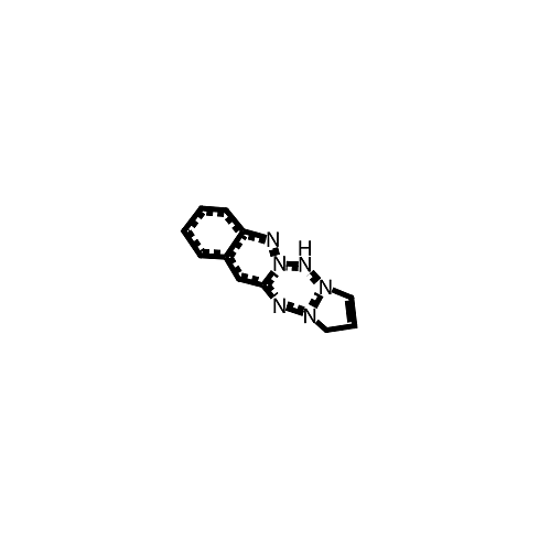 C1=Cn2[nH]n3nc4ccccc4cc3nn2C1